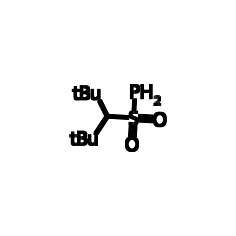 CC(C)(C)C(C(C)(C)C)S(=O)(=O)P